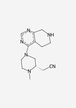 CN1CCN(c2ncnc3c2CCNC3)C[C@@H]1CC#N